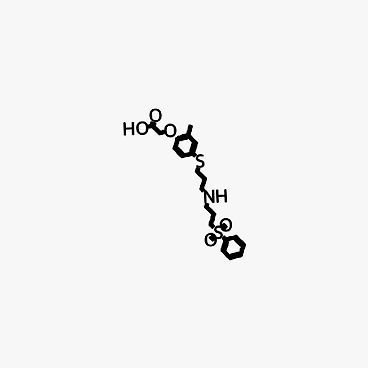 Cc1cc(SCCCNCCCS(=O)(=O)c2ccccc2)ccc1OCC(=O)O